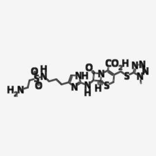 Cn1nnnc1SCC1=C(C(=O)O)N2C(=O)C(Nc3nc(CCCNS(=O)(=O)CCN)c[nH]3)[C@@H]2SC1